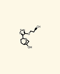 C#CCCOc1nsnc1C1CCC2CN1CC2O